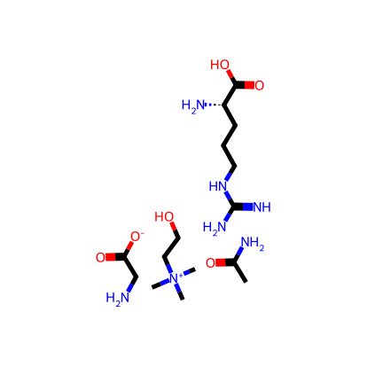 CC(N)=O.C[N+](C)(C)CCO.N=C(N)NCCC[C@H](N)C(=O)O.NCC(=O)[O-]